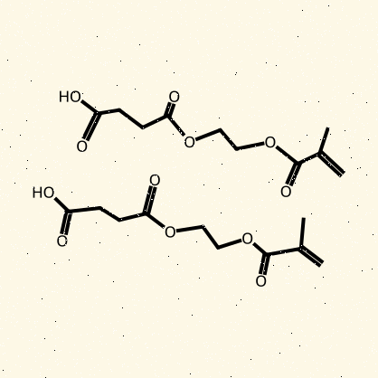 C=C(C)C(=O)OCCOC(=O)CCC(=O)O.C=C(C)C(=O)OCCOC(=O)CCC(=O)O